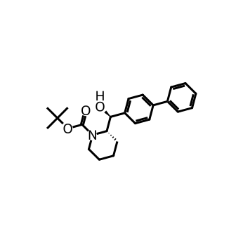 CC(C)(C)OC(=O)N1CCCC[C@H]1[C@@H](O)c1ccc(-c2ccccc2)cc1